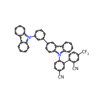 N#Cc1ccc(-n2c3ccccc3c3cc(-c4cccc(-n5c6ccccc6c6ccccc65)c4)ccc32)c(-c2ccc(C(F)(F)F)cc2C#N)c1